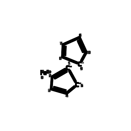 [Fe+2].[c-]1ccc[cH-]1.c1cc[cH-]c1